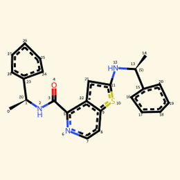 C[C@H](NC(=O)c1nccc2sc(N[C@@H](C)c3ccccc3)cc12)c1ccccc1